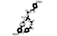 COc1ccc(C(=O)OOC(=O)OCC(C)(COC(=O)OOC(=O)c2ccc(OC)cc2)COC(=O)OOC(=O)c2ccc(OC)cc2)cc1